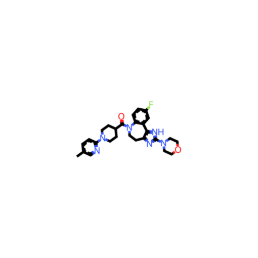 Cc1ccc(N2CCC(C(=O)N3CCc4nc(N5CCOCC5)[nH]c4-c4cc(F)ccc43)CC2)nc1